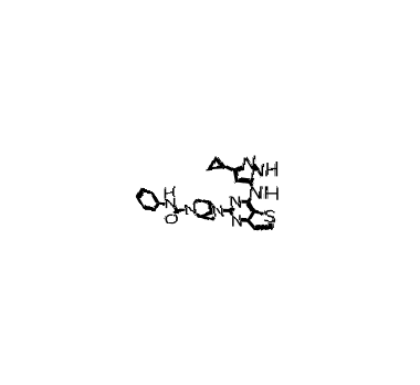 O=C(Nc1ccccc1)N1CC2CC1CN2c1nc(Nc2cc(C3CC3)n[nH]2)c2sccc2n1